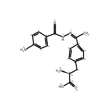 C/C(=N/NC(=O)c1ccc(N)cc1)c1ccc(C[C@H](N)C(=O)O)cc1